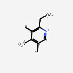 CC(=O)OCc1ncc(C)c([N+](=O)[O-])c1C